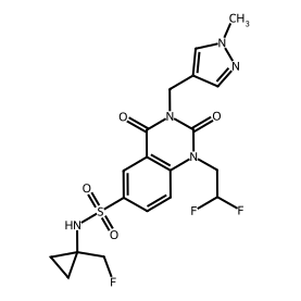 Cn1cc(Cn2c(=O)c3cc(S(=O)(=O)NC4(CF)CC4)ccc3n(CC(F)F)c2=O)cn1